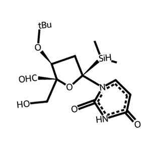 C[SiH](C)[C@]1(n2ccc(=O)[nH]c2=O)C[C@H](OC(C)(C)C)[C@@](C=O)(CO)O1